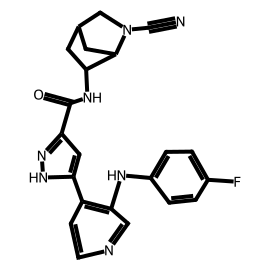 N#CN1CC2CC(NC(=O)c3cc(-c4ccncc4Nc4ccc(F)cc4)[nH]n3)C1C2